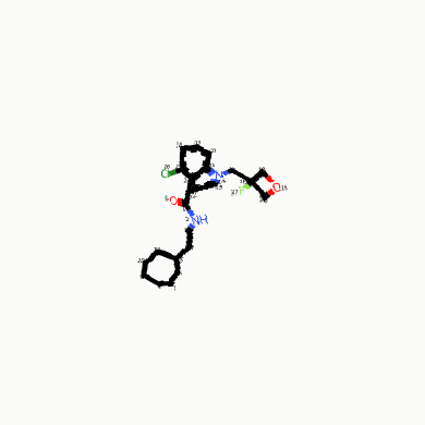 O=C(NCCC1CCCCCC1)c1cn(CC2(F)COC2)c2cccc(Cl)c12